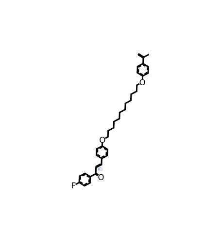 C=C(C)c1ccc(OCCCCCCCCCCCCOc2ccc(/C=C/C(=O)c3ccc(F)cc3)cc2)cc1